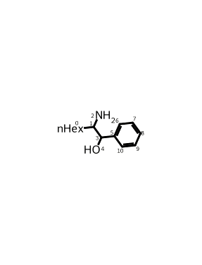 CCCCCCC(N)C(O)c1ccccc1